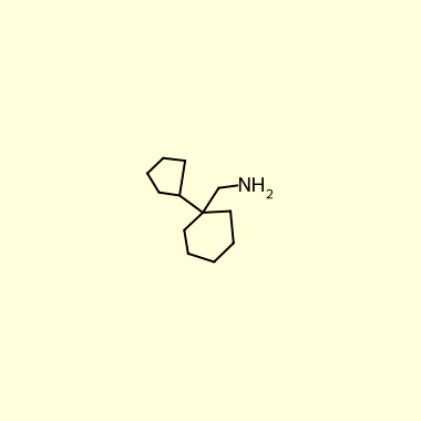 NCC1(C2CCCC2)CCCCC1